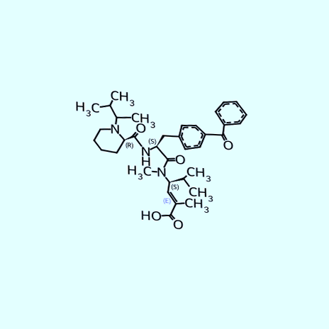 C/C(=C\[C@H](C(C)C)N(C)C(=O)[C@H](Cc1ccc(C(=O)c2ccccc2)cc1)NC(=O)[C@H]1CCCCN1C(C)C(C)C)C(=O)O